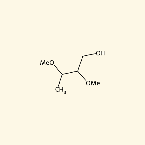 COC(C)C(CO)OC